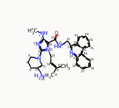 CNc1nc(N2CCCC(N)C2)n(CC=C(C)C)c1C(=O)NCc1nc2ccccc2c2ccccc12